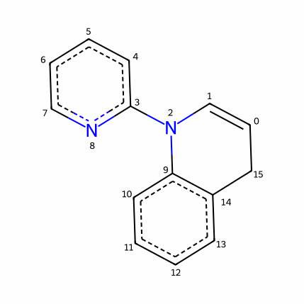 C1=CN(c2ccccn2)c2ccccc2C1